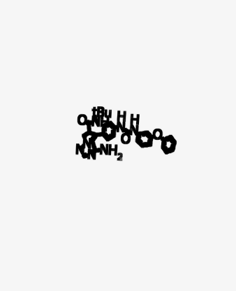 CC(C)(C)NC(=O)C1CN2N=CN=C(N)C2=C1c1ccc(NC(=O)Nc2cccc(Oc3ccccc3)c2)cc1